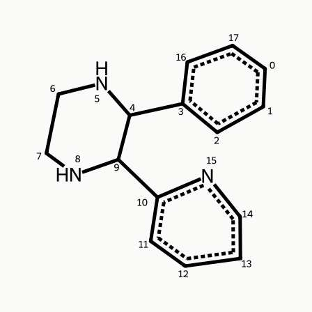 c1ccc(C2NCCNC2c2ccccn2)cc1